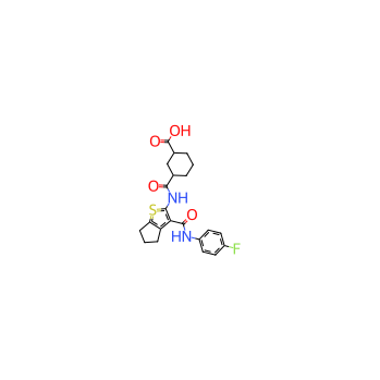 O=C(Nc1ccc(F)cc1)c1c(NC(=O)C2CCCC(C(=O)O)C2)sc2c1CCC2